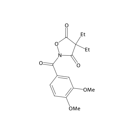 CCC1(CC)C(=O)ON(C(=O)c2ccc(OC)c(OC)c2)C1=O